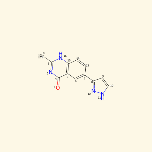 CC(C)c1nc(=O)c2cc(-c3cc[nH]n3)ccc2[nH]1